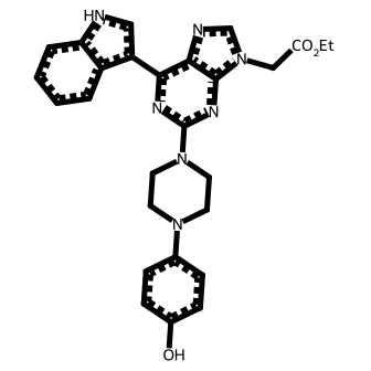 CCOC(=O)Cn1cnc2c(-c3c[nH]c4ccccc34)nc(N3CCN(c4ccc(O)cc4)CC3)nc21